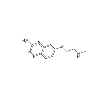 CNCCOc1ccc2nnc(N)nc2c1